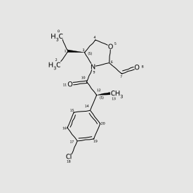 CC(C)[C@H]1COC(C=O)N1C(=O)[C@@H](C)c1ccc(Cl)cc1